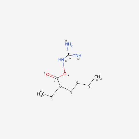 CCCCC(CC)C(=O)ONC(=N)N